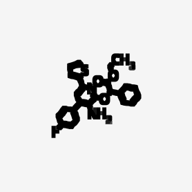 CCOC(=O)C(Oc1nc(-c2cccs2)cc(-c2ccc(F)cc2)c1N)c1ccccc1